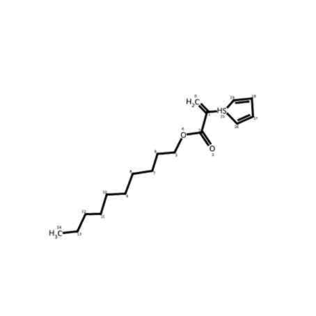 C=C(C(=O)OCCCCCCCCCC)[SH]1C=CC=C1